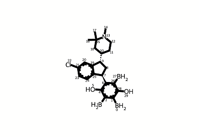 Bc1c(B)c(O)c([C@@H]2C[C@@H](C3CCN(C)C(C)(C)C3)c3cc(Cl)ccc32)c(B)c1O